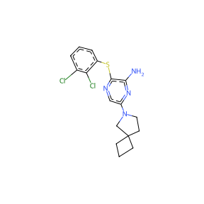 Nc1nc(N2CCC3(CCC3)C2)cnc1Sc1cccc(Cl)c1Cl